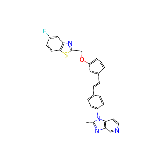 Cc1nc2cnccc2n1-c1ccc(C=Cc2cccc(OCc3nc4cc(F)ccc4s3)c2)cc1